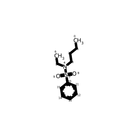 CCCCN(CC)S(=O)(=O)c1ccccc1